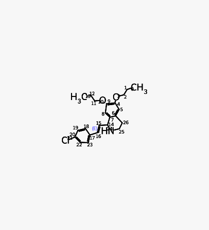 CCCOc1cc2c(cc1OCCC)C(/C=C/c1ccc(Cl)cc1)NCC2